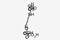 O=C(O)C(O)(c1ccccc1CC1CCN(CCCCCCCCCNCCc2ccc(O)c3[nH]c(=O)sc23)CC1)C1CCCCC1